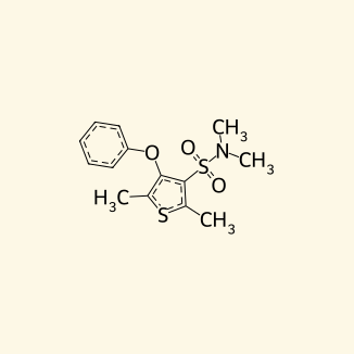 Cc1sc(C)c(S(=O)(=O)N(C)C)c1Oc1ccccc1